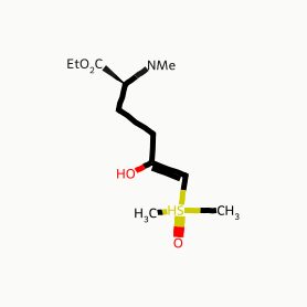 CCOC(=O)[C@H](CC/C(O)=C/[SH](C)(C)=O)NC